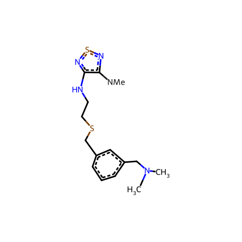 CNc1nsnc1NCCSCc1cccc(CN(C)C)c1